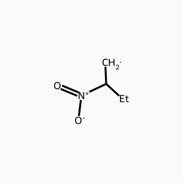 [CH2]C(CC)[N+](=O)[O-]